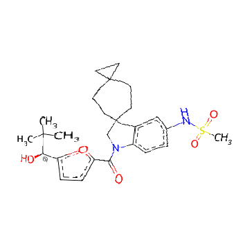 CC(C)(C)[C@H](O)c1ccc(C(=O)N2CC3(CCC4(CC4)CC3)c3cc(NS(C)(=O)=O)ccc32)o1